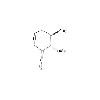 CO[C@@H]1C(=C=O)C=CC[C@H]1C=O